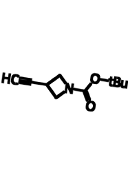 C#CC1CN(C(=O)OC(C)(C)C)C1